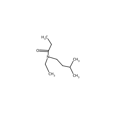 CCC(=O)N(CC)CCC(C)C